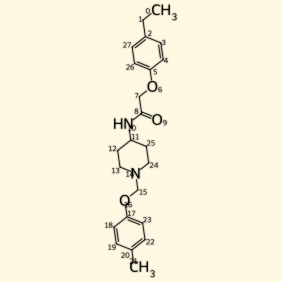 CCc1ccc(OCC(=O)NC2CCN(COc3ccc(C)cc3)CC2)cc1